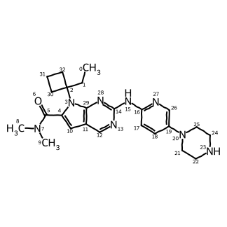 CCC1(n2c(C(=O)N(C)C)cc3cnc(Nc4ccc(N5CCNCC5)cn4)nc32)CCC1